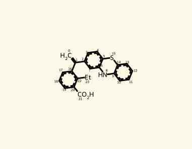 C=C(c1ccc2c(c1)Nc1ccccc1S2)c1cccc(C(=O)O)c1CC